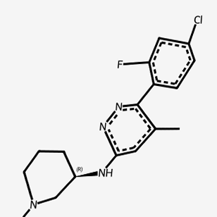 Cc1cc(N[C@@H]2CCCN(C)C2)nnc1-c1ccc(Cl)cc1F